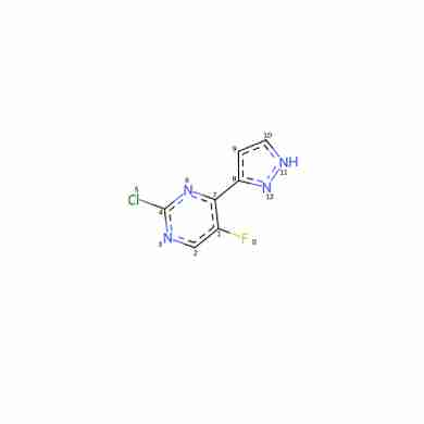 Fc1cnc(Cl)nc1-c1cc[nH]n1